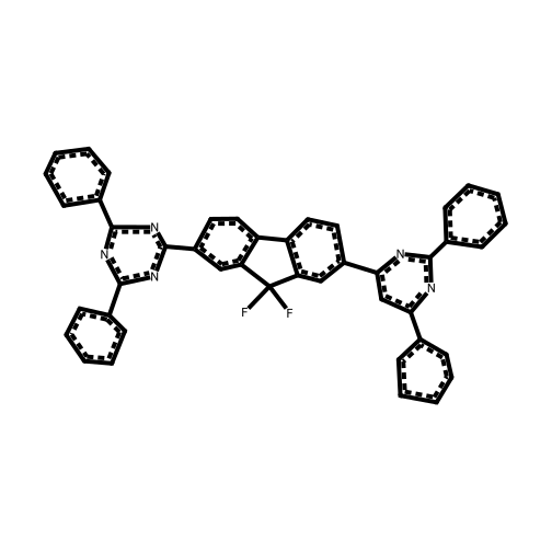 FC1(F)c2cc(-c3cc(-c4ccccc4)nc(-c4ccccc4)n3)ccc2-c2ccc(-c3nc(-c4ccccc4)nc(-c4ccccc4)n3)cc21